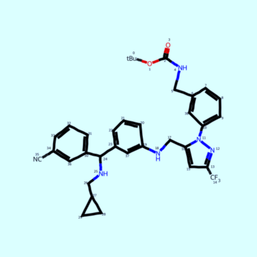 CC(C)(C)OC(=O)NCc1cccc(-n2nc(C(F)(F)F)cc2CNc2cccc(C(NCC3CC3)c3cccc(C#N)c3)c2)c1